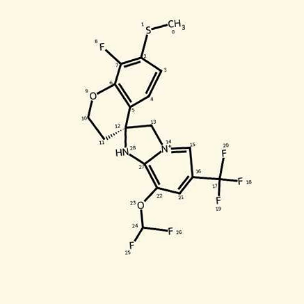 CSc1ccc2c(c1F)OCC[C@@]21C[n+]2cc(C(F)(F)F)cc(OC(F)F)c2N1